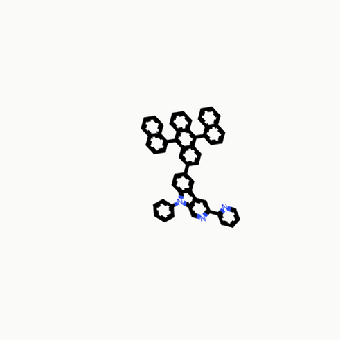 c1ccc(-n2c3ccc(-c4ccc5c(-c6cccc7ccccc67)c6ccccc6c(-c6cccc7ccccc67)c5c4)cc3c3cc(-c4ccccn4)ncc32)cc1